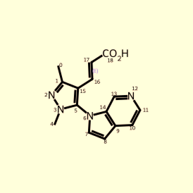 Cc1nn(C)c(-n2ccc3ccncc32)c1/C=C/C(=O)O